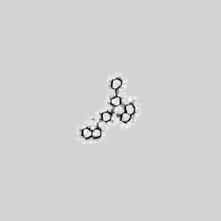 CN(c1ccc(N(c2ccc(-c3ccccc3)cc2)c2cccc3ccccc23)cc1)c1cccc2ccccc12